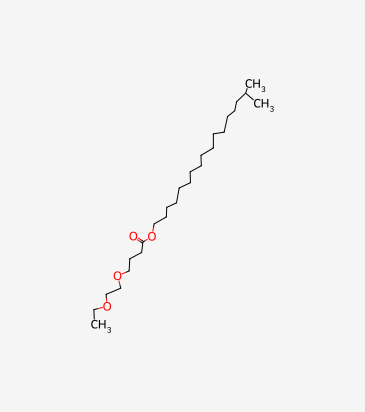 CCOCCOCCCC(=O)OCCCCCCCCCCCCCCCC(C)C